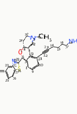 CN1CCC(OC(c2cccc(C#CCCCCN)c2)c2nc3ccccc3s2)CC1